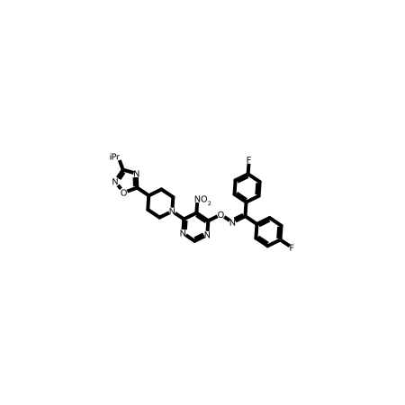 CC(C)c1noc(C2CCN(c3ncnc(ON=C(c4ccc(F)cc4)c4ccc(F)cc4)c3[N+](=O)[O-])CC2)n1